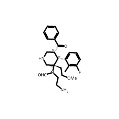 COCC[C@@]1(N(C=O)CCN)CNC[C@H](C(=O)c2ccccc2)[C@@H]1c1cccc(F)c1C